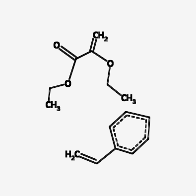 C=C(OCC)C(=O)OCC.C=Cc1ccccc1